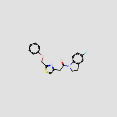 O=C(Cc1csc(COc2ccccc2)n1)N1CCc2cc(F)ccc21